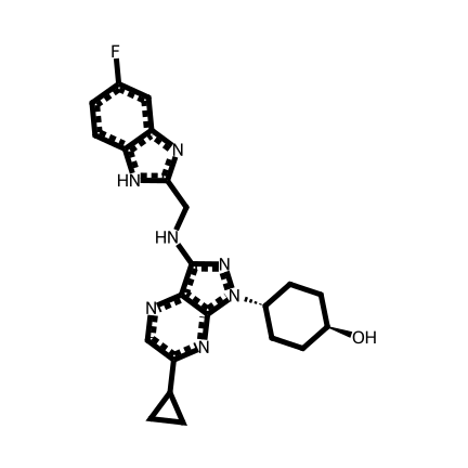 O[C@H]1CC[C@H](n2nc(NCc3nc4cc(F)ccc4[nH]3)c3ncc(C4CC4)nc32)CC1